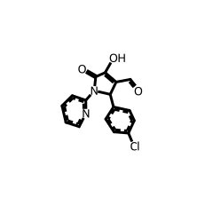 O=CC1=C(O)C(=O)N(c2ccccn2)C1c1ccc(Cl)cc1